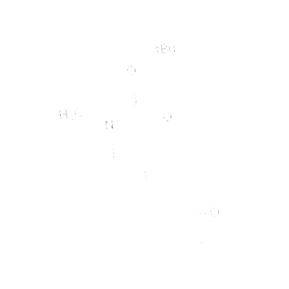 CN(CCC[C@H]1CO1)C(=O)OC(C)(C)C